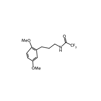 COc1ccc(OC)c(CCCNC(=O)C(F)(F)F)c1